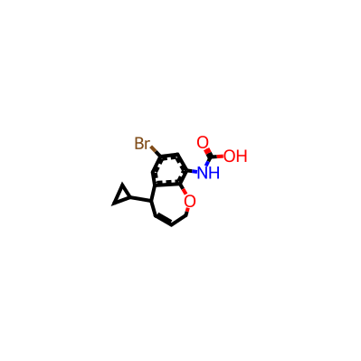 O=C(O)Nc1cc(Br)cc2c1OCC=CC2C1CC1